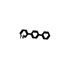 c1ccc(-c2ccc(-c3cccnc3)cc2)cc1